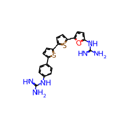 N=C(N)Nc1ccc(-c2ccc(-c3ccc(-c4ccc(NC(=N)N)o4)s3)s2)cc1